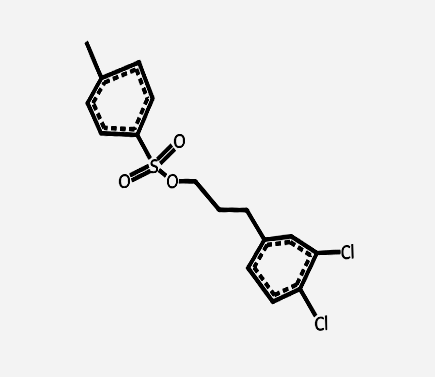 Cc1ccc(S(=O)(=O)OCCCc2ccc(Cl)c(Cl)c2)cc1